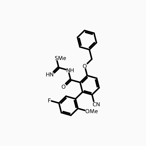 COc1ccc(F)cc1-c1c(C#N)ccc(OCc2ccccc2)c1C(=O)NC(=N)SC